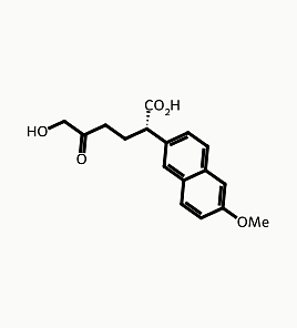 COc1ccc2cc([C@H](CCC(=O)CO)C(=O)O)ccc2c1